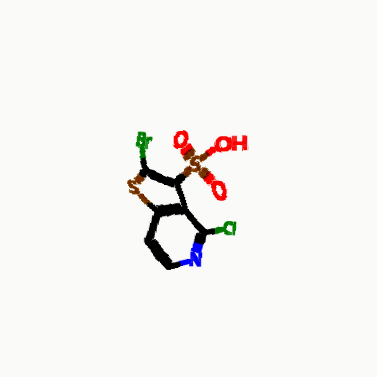 O=S(=O)(O)c1c(Br)sc2ccnc(Cl)c12